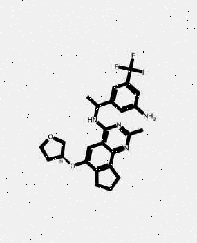 Cc1nc(NC(C)c2cc(N)cc(C(F)(F)F)c2)c2cc(O[C@H]3CCOC3)c3c(c2n1)CCC3